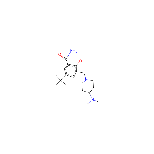 COc1c(CN2CCC(N(C)C)CC2)cc(C(C)(C)C)cc1C(N)=O